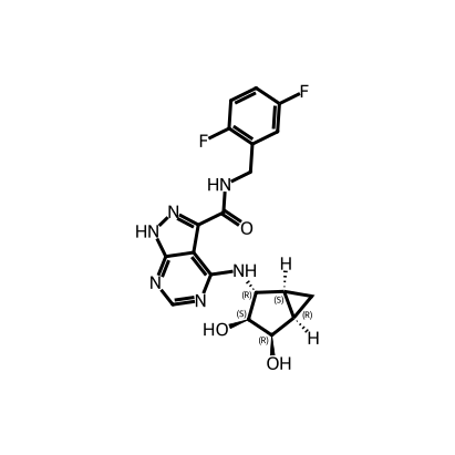 O=C(NCc1cc(F)ccc1F)c1n[nH]c2ncnc(N[C@H]3[C@H](O)[C@H](O)[C@@H]4C[C@@H]43)c12